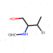 CCC(C)C(CO)N[C]=O